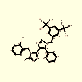 Cc1nnc(-c2nnn(Cc3cc(C(F)(F)F)cc(C(F)(F)F)c3)c2-c2ccccc2)n1Cc1ccccc1Cl